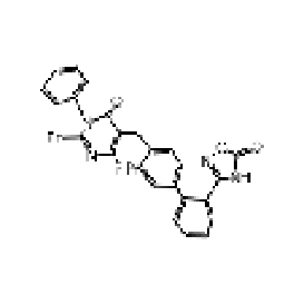 CCCc1nc(CC)n(-c2ccccc2)c(=O)c1Cc1ccc(-c2ccccc2-c2noc(=O)[nH]2)cc1